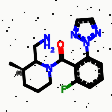 C[C@@H]1CCCN(C(=O)c2c(F)cccc2-n2nccn2)C1CN